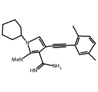 CNc1c(C(=N)N)c(C#Cc2cc(C)ccc2C)cn1C1CCCCC1